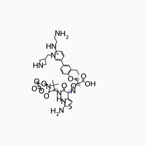 CC1(C)[C@H](NC(=O)/C(=N\O[C@](C)(C(=O)O)[C@H]2CCc3cc(-c4ccc(NCCN)[n+](CC5CNC5)c4)ccc3O2)c2csc(N)n2)C(=O)N1OS(=O)(=O)[O-]